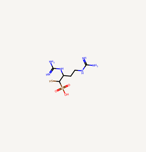 N=C(N)NCCC(NC(=N)N)C(S)S(=O)(=O)O